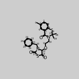 Cc1ccc2c(c1)C(=O)N(CCOC1C(=O)SC(=O)N1Cc1ccccc1)C(C)(C)S2